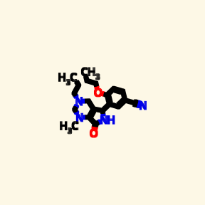 CCCOc1ccc(C#N)cc1C1NC(=O)C2=C1CN(CCC)CN2C